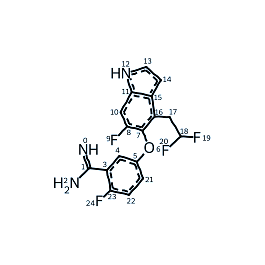 N=C(N)c1cc(Oc2c(F)cc3[nH]ccc3c2CC(F)F)ccc1F